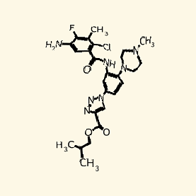 Cc1c(F)c(N)cc(C(=O)Nc2cc(-n3cc(C(=O)OCC(C)C)nn3)ccc2N2CCN(C)CC2)c1Cl